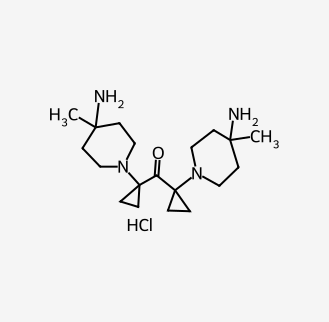 CC1(N)CCN(C2(C(=O)C3(N4CCC(C)(N)CC4)CC3)CC2)CC1.Cl